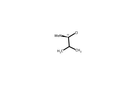 CN[C@@H](Cl)C(C)C